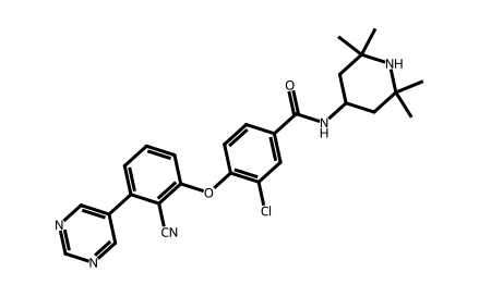 CC1(C)CC(NC(=O)c2ccc(Oc3cccc(-c4cncnc4)c3C#N)c(Cl)c2)CC(C)(C)N1